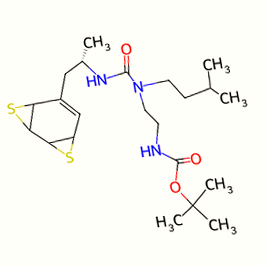 CC(C)CCN(CCNC(=O)OC(C)(C)C)C(=O)N[C@@H](C)CC1=CC2SC2C2SC12